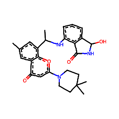 Cc1cc(C(C)Nc2cccc3c2C(=O)NC3O)c2oc(N3CCC(C)(C)CC3)cc(=O)c2c1